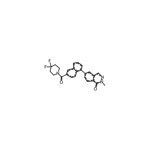 Cn1ncc2cc(-c3cccc4cc(C(=O)N5CCC(F)(F)CC5)ccc34)ccc2c1=O